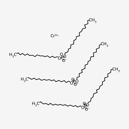 CCCCCCCCCCCCCCCCCCOP(=O)([O-])OCCCCCCCCCCCCCCCCCC.CCCCCCCCCCCCCCCCCCOP(=O)([O-])OCCCCCCCCCCCCCCCCCC.CCCCCCCCCCCCCCCCCCOP(=O)([O-])OCCCCCCCCCCCCCCCCCC.[Cr+3]